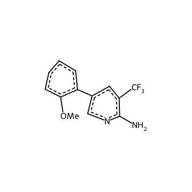 COc1ccccc1-c1cnc(N)c(C(F)(F)F)c1